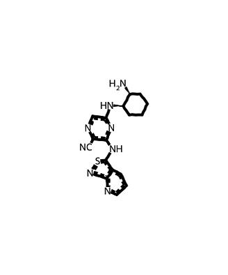 N#Cc1ncc(N[C@@H]2CCCC[C@@H]2N)nc1Nc1snc2ncccc12